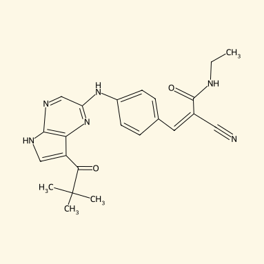 CCNC(=O)/C(C#N)=C\c1ccc(Nc2cnc3[nH]cc(C(=O)C(C)(C)C)c3n2)cc1